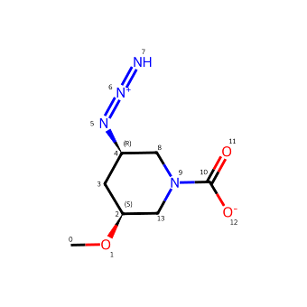 CO[C@H]1C[C@@H](N=[N+]=N)CN(C(=O)[O-])C1